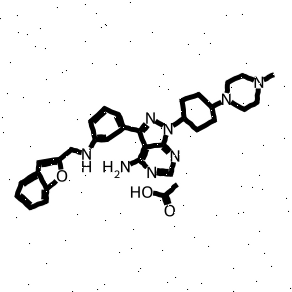 CC(=O)O.CN1CCN(C2CCC(n3nc(-c4cccc(NCc5cc6ccccc6o5)c4)c4c(N)ncnc43)CC2)CC1